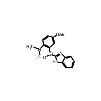 COc1ccc(N(C)C)c([S+]([O-])c2nc3ccccc3[nH]2)c1